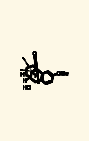 COc1ccc2c(c1)[C@]13CCN[C@H](C2)[C@@H]1[C@@H](C)[C@H](C)C(=O)C3.Cl